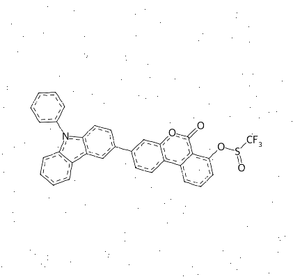 O=c1oc2cc(-c3ccc4c(c3)c3ccccc3n4-c3ccccc3)ccc2c2cccc(OS(=O)C(F)(F)F)c12